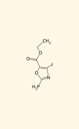 CCOC(=O)c1oc(P)nc1I